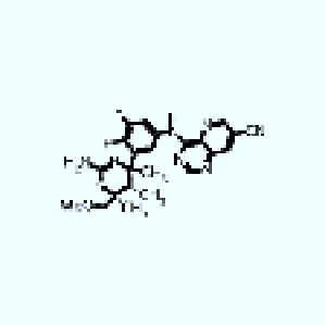 COC[C@@]1(C)SC(N)=N[C@](C)(c2cc(Nc3ncnc4cc(C#N)cnc34)cc(F)c2F)[C@@H]1C